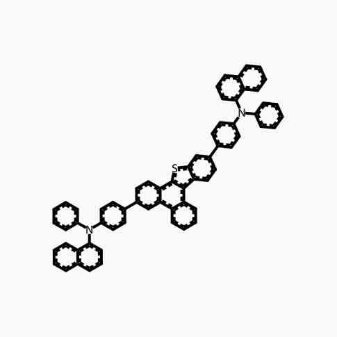 c1ccc(N(c2ccc(-c3ccc4c(c3)sc3c5ccc(-c6ccc(N(c7ccccc7)c7cccc8ccccc78)cc6)cc5c5ccccc5c43)cc2)c2cccc3ccccc23)cc1